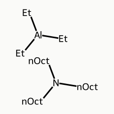 CCCCCCCCN(CCCCCCCC)CCCCCCCC.C[CH2][Al]([CH2]C)[CH2]C